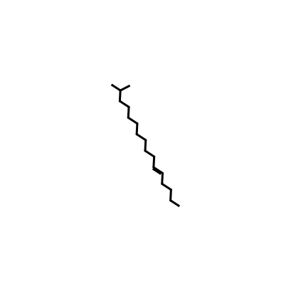 CCCCC=CCCCCCCCCC(C)C